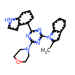 Cc1cc2ccccc2n1-c1nc(-c2cccc3[nH]ccc23)nc(N2CCOCC2)n1